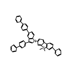 C[Si]1(C)c2cc(-c3ccccc3)ccc2-c2ccc(-n3cc(-c4ccc(-c5ccccc5)cc4)c4cc(-c5ccc(-c6ccccc6)cc5)ccc43)cc21